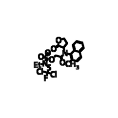 CCN(SC(F)(Cl)Cl)S(=O)(=O)OCC(=O)N(c1c(C)ccc2ccccc12)C1CCOC1=O